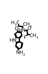 CC(F)C(=O)N[C@H](C)C(C)Oc1ccc2c(c1)[nH]c1cc(N)ccc12